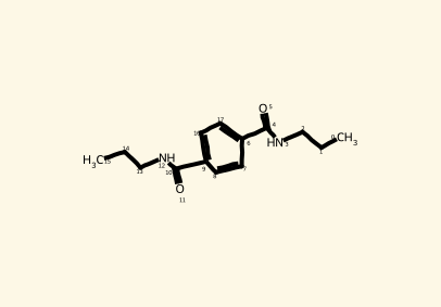 CCCNC(=O)c1ccc(C(=O)NCCC)cc1